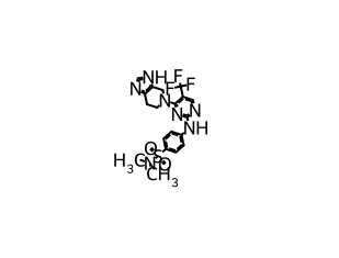 CN(C)S(=O)(=O)c1ccc(Nc2ncc(C(F)(F)F)c(N3CCc4nc[nH]c4C3)n2)cc1